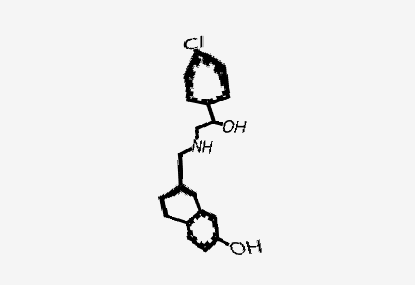 Oc1ccc2c(c1)CC(CNCC(O)c1ccc(Cl)cc1)CC2